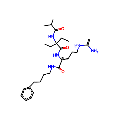 C=C(N)NCCC[C@H](NC(=O)C(CC)(CC)NC(=O)C(C)C)C(=O)NCCCCc1ccccc1